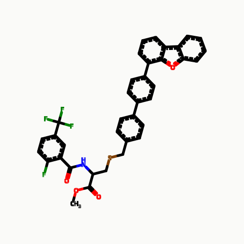 COC(=O)C(CSCc1ccc(-c2ccc(-c3cccc4c3oc3ccccc34)cc2)cc1)NC(=O)c1cc(C(F)(F)F)ccc1F